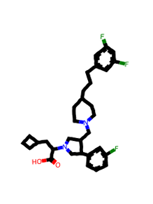 O=C(O)C(CC1CCC1)N1CC(CN2CCC(CCCc3cc(F)cc(F)c3)CC2)C(c2cccc(F)c2)C1